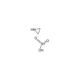 C1CN1.O=[SH](=O)O